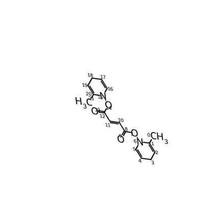 CC1=CCC=CN1OC(=O)/C=C/C(=O)ON1C=CCC=C1C